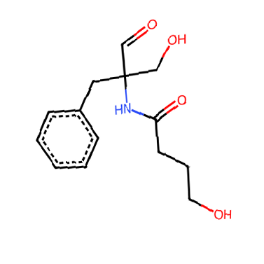 O=CC(CO)(Cc1ccccc1)NC(=O)CCCO